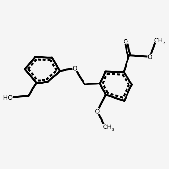 COC(=O)c1ccc(OC)c(COc2cccc(CO)c2)c1